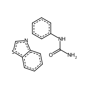 NC(=O)Nc1ccccc1.c1ccc2scnc2c1